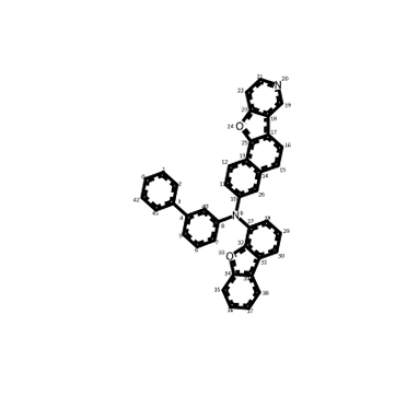 c1ccc(-c2cccc(N(c3ccc4c(ccc5c6cnccc6oc45)c3)c3cccc4c3oc3ccccc34)c2)cc1